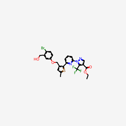 CCOC(=O)c1cnn(-c2cccc(-c3sc(C)cc3COc3ccc(Br)c(CO)c3)n2)c1C(F)(F)F